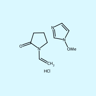 C=CN1CCCC1=O.COn1ccnc1.Cl